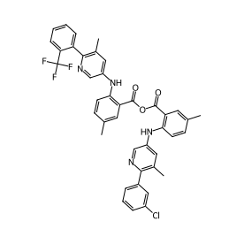 Cc1ccc(Nc2cnc(-c3cccc(Cl)c3)c(C)c2)c(C(=O)OC(=O)c2cc(C)ccc2Nc2cnc(-c3ccccc3C(F)(F)F)c(C)c2)c1